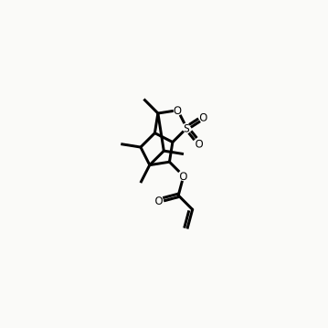 C=CC(=O)OC1C2C3C(C)C1(C)C(C)C3(C)OS2(=O)=O